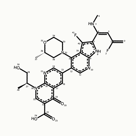 C=C(F)/C=C(/NC)c1[nH]c2ncc(-c3cnc4c(c3)c(=O)c(C(=O)O)cn4[C@@H](C)CO)c(N3CCO[C@@H](C)C3)c2c1F